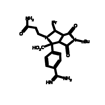 CCCCN1C(=O)C2C(C(C)C)N(CCC(N)=O)C(C(=O)O)(c3ccc(C(=N)N)cc3)C2C1=O